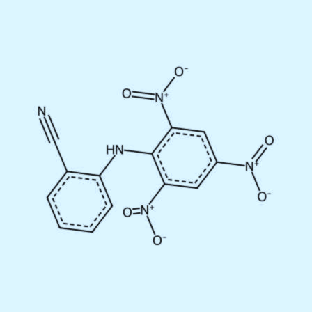 N#Cc1ccccc1Nc1c([N+](=O)[O-])cc([N+](=O)[O-])cc1[N+](=O)[O-]